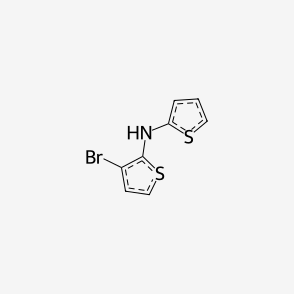 Brc1ccsc1Nc1cccs1